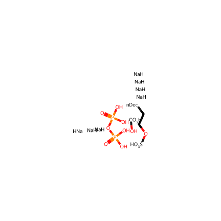 CCCCCCCCCCCCOS(=O)(=O)O.O=C(O)O.O=P(O)(O)OP(=O)(O)O.[NaH].[NaH].[NaH].[NaH].[NaH].[NaH].[NaH]